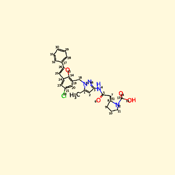 Cc1cc(NC(=O)C[C@@H]2CCCN2C(=O)O)nn1Cc1cc(Cl)cc2cc(-c3ccccc3)oc12